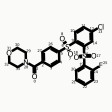 O=C(c1ccc(S(=O)(=O)c2ccc(Cl)cc2S(=O)(=O)c2ccccc2F)cc1)N1CCOCC1